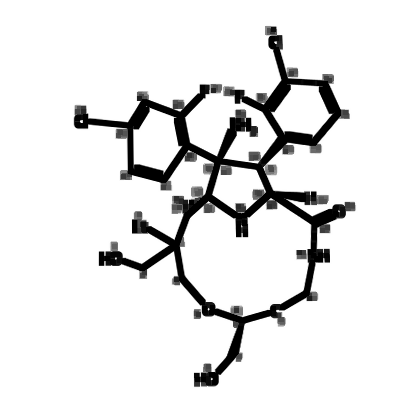 CCC1(CO)CO[C@H](CO)CCNC(=O)[C@@H]2N[C@@H](C1)[C@](N)(c1ccc(Cl)cc1F)[C@H]2c1cccc(Cl)c1F